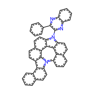 c1ccc(-c2nc3ccccc3nc2-n2c3ccc4cccc5c4c3c3c4c(ccc6c7c8ccccc8ccc7n5c64)ccc32)cc1